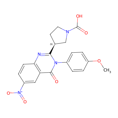 COc1ccc(-n2c([C@H]3CCN(C(=O)O)C3)nc3ccc([N+](=O)[O-])cc3c2=O)cc1